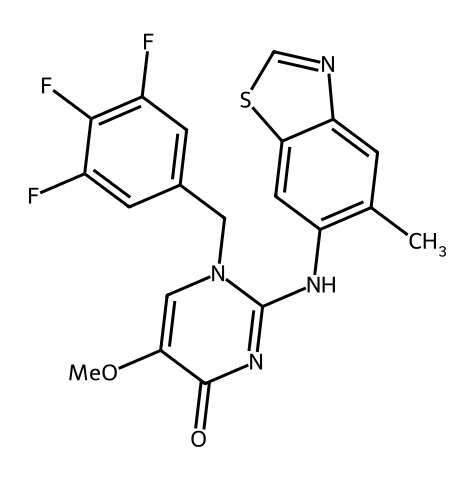 COc1cn(Cc2cc(F)c(F)c(F)c2)c(Nc2cc3scnc3cc2C)nc1=O